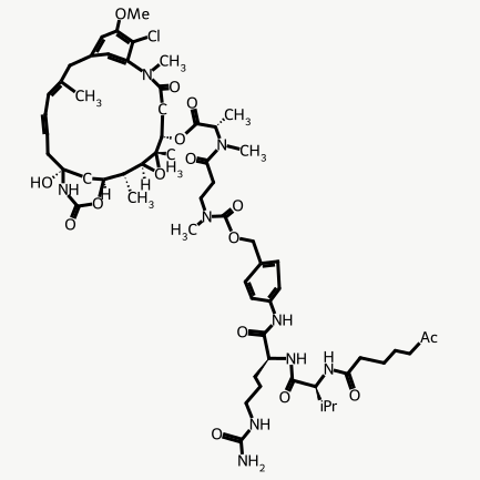 COc1cc2cc(c1Cl)N(C)C(=O)C[C@H](OC(=O)[C@H](C)N(C)C(=O)CCN(C)C(=O)OCc1ccc(NC(=O)[C@H](CCCNC(N)=O)NC(=O)[C@@H](NC(=O)CCCCC(C)=O)C(C)C)cc1)[C@]1(C)O[C@H]1[C@H](C)[C@@H]1C[C@](O)(C/C=C/C=C(\C)C2)NC(=O)O1